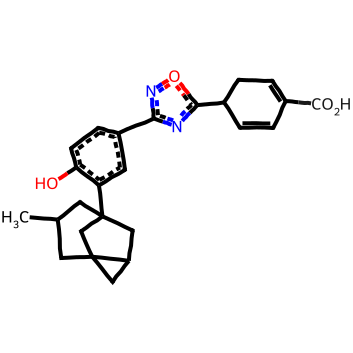 CC1CC2(c3cc(-c4noc(C5C=CC(C(=O)O)=CC5)n4)ccc3O)CC3CC3(C1)C2